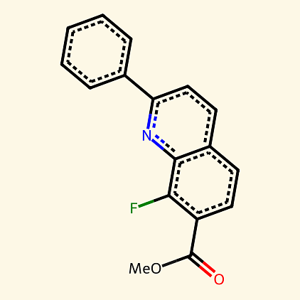 COC(=O)c1ccc2ccc(-c3ccccc3)nc2c1F